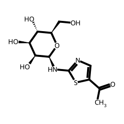 CC(=O)c1cnc(N[C@@H]2O[C@H](CO)[C@@H](O)[C@H](O)[C@@H]2O)s1